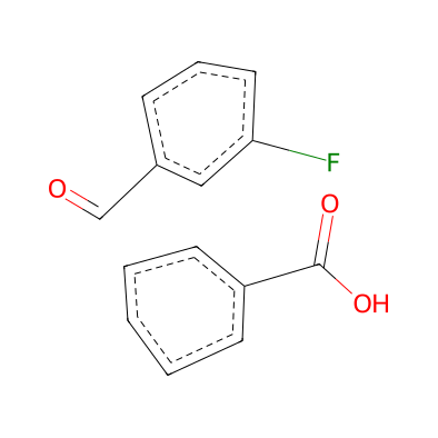 O=C(O)c1ccccc1.O=Cc1cccc(F)c1